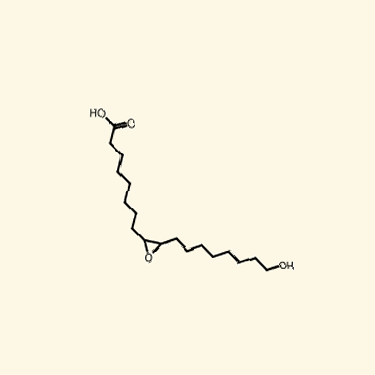 O=C(O)CCCCCCCC1OC1CCCCCCCCO